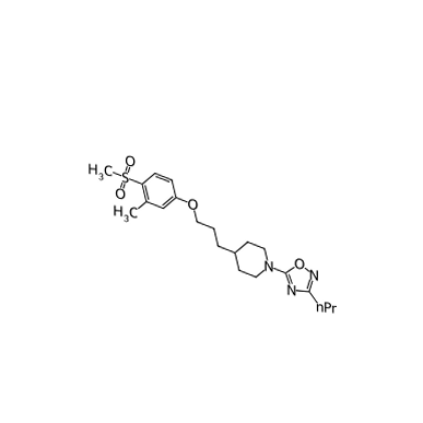 CCCc1noc(N2CCC(CCCOc3ccc(S(C)(=O)=O)c(C)c3)CC2)n1